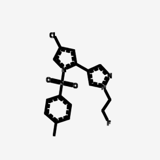 Cc1ccc(S(=O)(=O)n2cc(Cl)cc2-c2cnn(CCF)c2)cc1